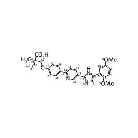 COc1ccc(OC)c(-c2cnc(-c3ccc(-c4ccc(OCC(C)(C)C(=O)O)cc4)nc3)[nH]2)c1